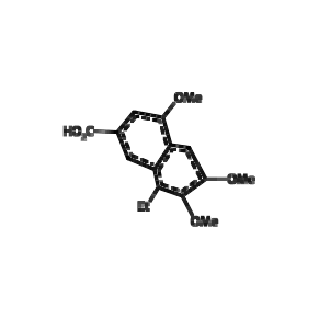 CCc1c(OC)c(OC)cc2c(OC)cc(C(=O)O)cc12